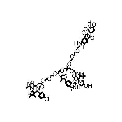 Cc1ncsc1-c1ccc([C@H](C)NC(=O)[C@@H]2C[C@@H](O)CN2C(=O)[C@@H](NC(=O)COCC(C)(COCCOCCOCCNc2cc3c(cc2F)C(=O)N(C2CCC(=O)NC2=O)C3=O)COCCOCCOCCOC(=O)C[C@@H]2N=C(c3ccc(Cl)cc3)c3c(sc(C)c3C)-n3c(C)nnc32)C(C)(C)C)cc1